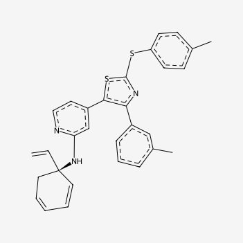 C=C[C@]1(Nc2cc(-c3sc(Sc4ccc(C)cc4)nc3-c3cccc(C)c3)ccn2)C=CC=CC1